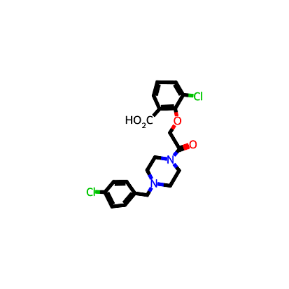 O=C(O)c1cccc(Cl)c1OCC(=O)N1CCN(Cc2ccc(Cl)cc2)CC1